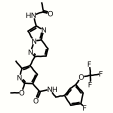 COc1nc(C)c(-c2ccc3nc(NC(C)=O)cn3n2)cc1C(=O)NCc1cc(F)cc(OC(F)(F)F)c1